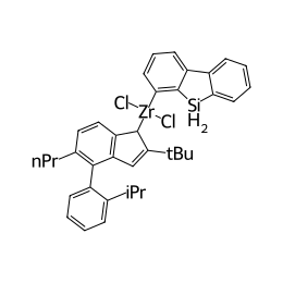 CCCc1ccc2c(c1-c1ccccc1C(C)C)C=C(C(C)(C)C)[CH]2[Zr]([Cl])([Cl])[c]1cccc2c1[SiH2]c1ccccc1-2